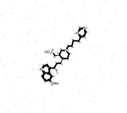 COc1ccc2nccc([C@@H](F)CC[C@@H]3CCN(CCCCc4ccncn4)C[C@@H]3CC(=O)O)c2c1